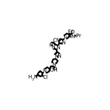 CCC1(C(=O)NC(C)C)CCN(c2ccc(-c3nc(-c4cnn(C5CCN(C(=O)CC6(O)CCN(c7ccc(N)cc7Cl)CC6)CC5)c4)cn4ncc(C#N)c34)cn2)CC1